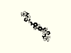 COC(=O)N[C@H](C(=O)N1CCC[C@H]1/C(C)=N/C=C(\C)c1ccc2c3c1cnn3-c1ccc(-c3cnc([C@@H]4CCCN4C(=O)[C@@H](NC(=O)OC)C(C)C)[nH]3)cc1O2)C(C)C